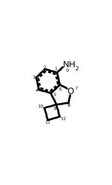 Nc1cccc2c1OCC21CCC1